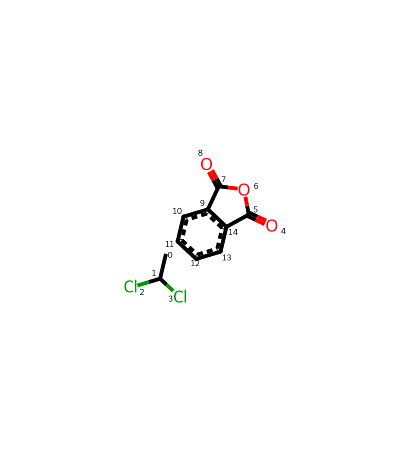 CC(Cl)Cl.O=C1OC(=O)c2ccccc21